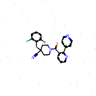 N#CC1(Cc2c(F)cccc2F)CCN(C(=S)c2cccnc2-c2ccncc2)CC1